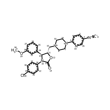 [C-]#[N+]c1ccc(N2CCN(C[C@@H]3OC(=O)N(c4ccc(Cl)cc4)[C@H]3c3cccc(OC)c3)CC2)nc1